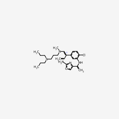 C=C/C(=C\N(C)CCCN(CCC)CCC)c1ccc(Cl)c(NC(=C)c2coc(N)n2)c1